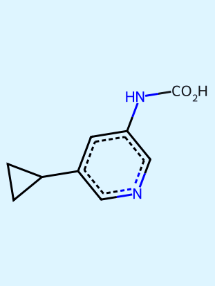 O=C(O)Nc1cncc(C2CC2)c1